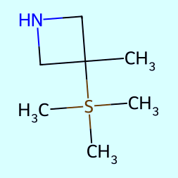 CC1(S(C)(C)C)CNC1